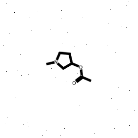 CC(=O)OC1C[CH]N(C)C1